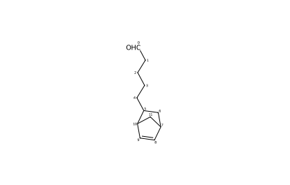 O=CCCCCC1CC2C=CC1C2